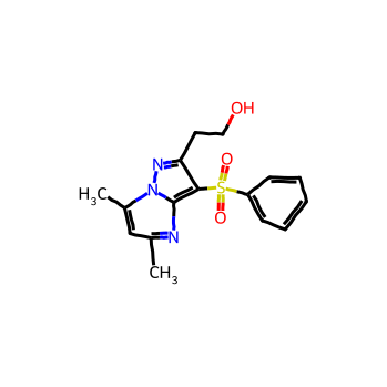 Cc1cc(C)n2nc(CCO)c(S(=O)(=O)c3ccccc3)c2n1